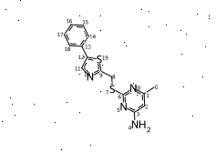 Cc1cc(N)nc(SCc2ncc(-c3ccccc3)s2)n1